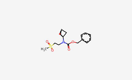 CS(=O)(=O)CCN(C(=O)OCc1ccccc1)C12C[C](C1)C2